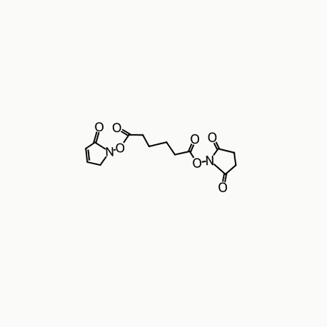 O=C(CCCCC(=O)ON1C(=O)CCC1=O)ON1CC=CC1=O